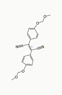 COCOc1ccc(/C(C#N)=C(\C#N)c2ccc(OCOC)cc2)cc1